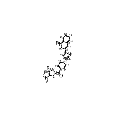 CN(C)C1CN(C(=O)c2ccc(-n3cc(C4=Cc5ccccc5N(F)C4)nn3)cc2)CC1(F)F